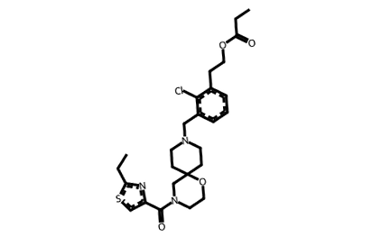 CCC(=O)OCCc1cccc(CN2CCC3(CC2)CN(C(=O)c2csc(CC)n2)CCO3)c1Cl